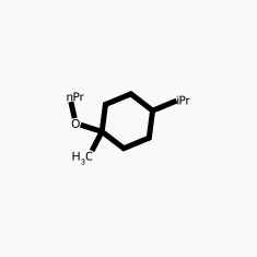 CCCOC1(C)CCC(C(C)C)CC1